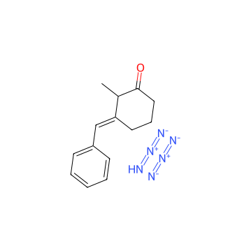 CC1C(=O)CCCC1=Cc1ccccc1.[N-]=[N+]=N.[N-]=[N+]=[N-]